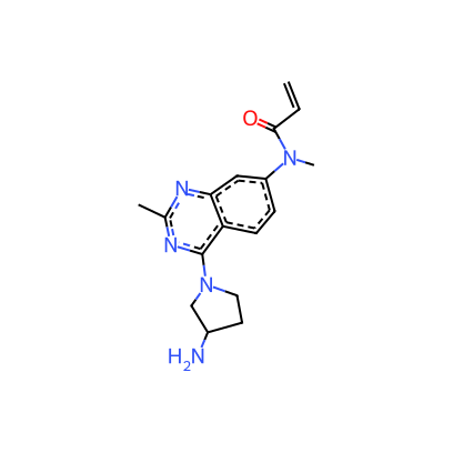 C=CC(=O)N(C)c1ccc2c(N3CCC(N)C3)nc(C)nc2c1